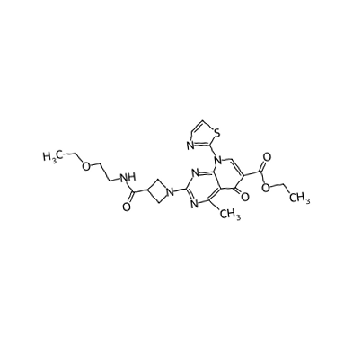 CCOCCNC(=O)C1CN(c2nc(C)c3c(=O)c(C(=O)OCC)cn(-c4nccs4)c3n2)C1